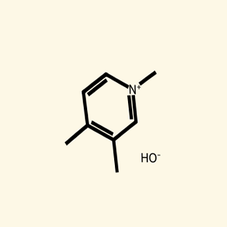 Cc1cc[n+](C)cc1C.[OH-]